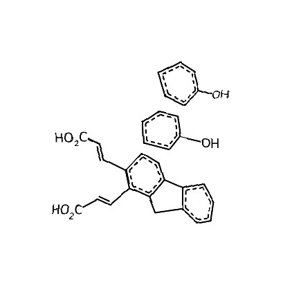 O=C(O)C=Cc1ccc2c(c1C=CC(=O)O)Cc1ccccc1-2.Oc1ccccc1.Oc1ccccc1